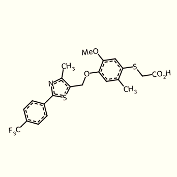 COc1cc(SCC(=O)O)c(C)cc1OCc1sc(-c2ccc(C(F)(F)F)cc2)nc1C